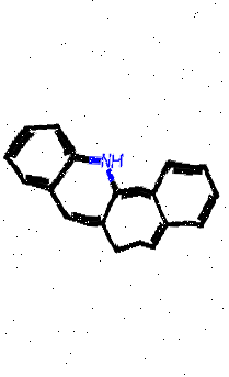 C1=C2CC=c3ccccc3=C2Nc2ccccc21